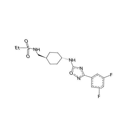 CCS(=O)(=O)NC[C@H]1CC[C@H](Nc2nc(-c3cc(F)cc(F)c3)no2)CC1